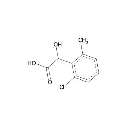 Cc1cccc(Cl)c1C(O)C(=O)O